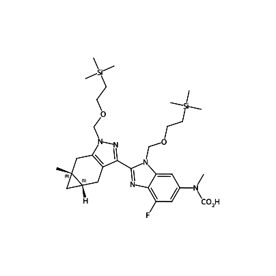 CN(C(=O)O)c1cc(F)c2nc(-c3nn(COCC[Si](C)(C)C)c4c3C[C@@H]3C[C@]3(C)C4)n(COCC[Si](C)(C)C)c2c1